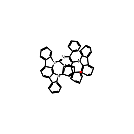 c1ccc(-c2nc(-n3c4ccccc4c4ccc5c6ccccc6n(-c6ccccc6)c5c43)nc(-c3ccccc3)c2-n2c3ccccc3c3ccccc32)cc1